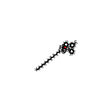 O=C(OCCCCCCCCCCCCCCCI)C(F)(F)S(=O)(=O)OS(c1ccccc1)(c1ccccc1)c1ccc(F)cc1